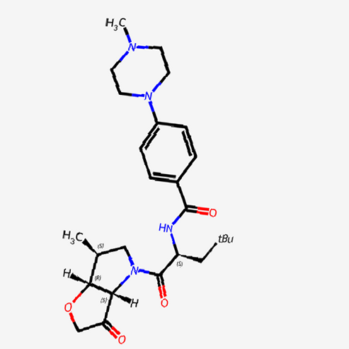 C[C@H]1CN(C(=O)[C@H](CC(C)(C)C)NC(=O)c2ccc(N3CCN(C)CC3)cc2)[C@@H]2C(=O)CO[C@@H]21